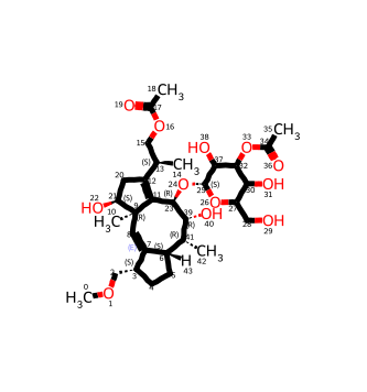 COC[C@H]1CC[C@@H]2/C1=C\[C@]1(C)C(=C([C@H](C)COC(C)=O)C[C@@H]1O)[C@@H](O[C@H]1OC(CO)C(O)C(OC(C)=O)C1O)[C@H](O)[C@@H]2C